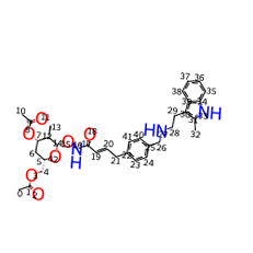 CC(=O)OC[C@@H]1C[C@H](OC(C)=O)[C@@H](C)[C@H](ONC(=O)/C=C/Cc2ccc(CNCCc3c(C)[nH]c4ccccc34)cc2)O1